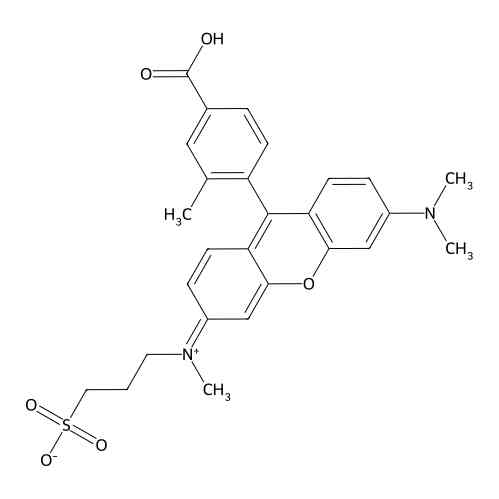 Cc1cc(C(=O)O)ccc1-c1c2cc/c(=[N+](/C)CCCS(=O)(=O)[O-])cc-2oc2cc(N(C)C)ccc12